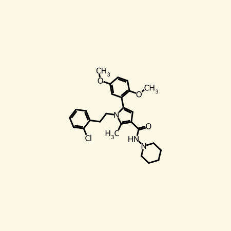 COc1ccc(OC)c(-c2cc(C(=O)NN3CCCCC3)c(C)n2CCc2ccccc2Cl)c1